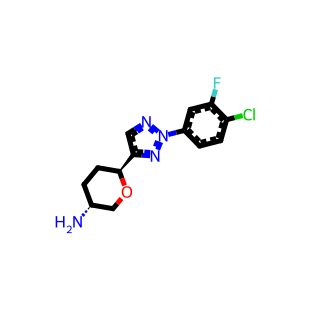 N[C@@H]1CC[C@@H](c2cnn(-c3ccc(Cl)c(F)c3)n2)OC1